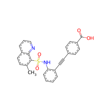 Cc1ccc2cccnc2c1S(=O)(=O)Nc1ccccc1C#Cc1ccc(C(=O)O)cc1